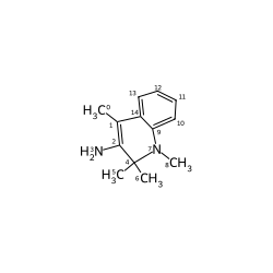 CC1=C(N)C(C)(C)N(C)c2ccccc21